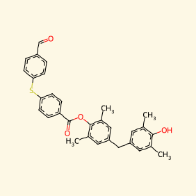 Cc1cc(Cc2cc(C)c(OC(=O)c3ccc(Sc4ccc(C=O)cc4)cc3)c(C)c2)cc(C)c1O